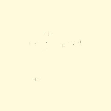 CC1(C)CN(C(=O)O)C[C@H](CCO)O1